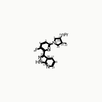 CCC[C@@H]1CN(c2ccc(F)c(-c3n[nH]c4ncccc34)n2)C[C@@H]1C